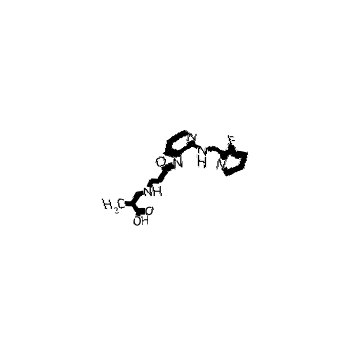 CC(CNCCc1nc2c(NCc3ncccc3F)nccc2o1)C(=O)O